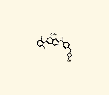 CON1CC(c2c(Cl)cccc2Cl)=Cc2cnc(Nc3ccc(CN4CC(O)C4)cc3)nc21